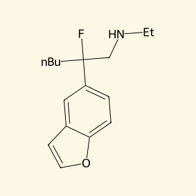 CCCCC(F)(CNCC)c1ccc2occc2c1